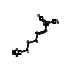 CCCC/C=C/[N+](=O)[O-]